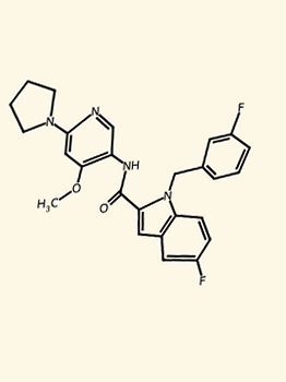 COc1cc(N2CCCC2)ncc1NC(=O)c1cc2cc(F)ccc2n1Cc1cccc(F)c1